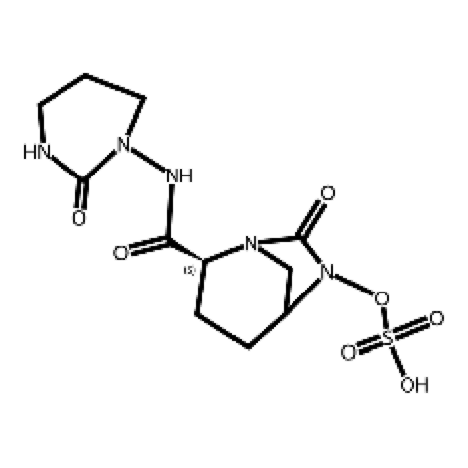 O=C(NN1CCCNC1=O)[C@@H]1CCC2CN1C(=O)N2OS(=O)(=O)O